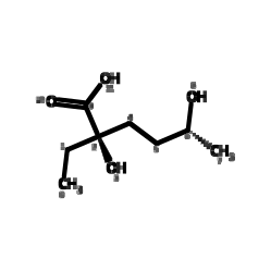 CC[C@@](O)(CC[C@@H](C)O)C(=O)O